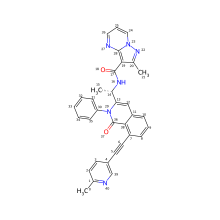 Cc1ccc(C#Cc2cccc3cc([C@H](C)NC(=O)c4c(C)nn5cccnc45)n(-c4ccccc4)c(=O)c23)cn1